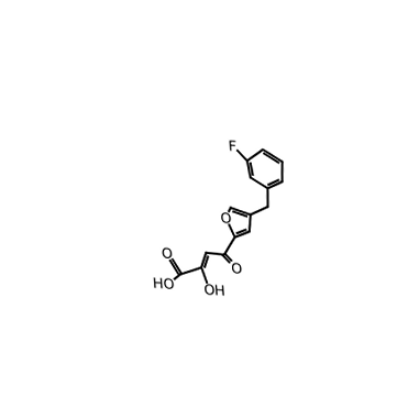 O=C(O)C(O)=CC(=O)c1cc(Cc2cccc(F)c2)co1